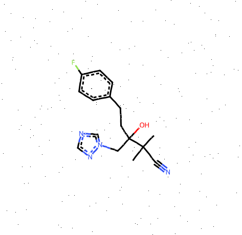 CC(C)(C#N)C(O)(CCc1ccc(F)cc1)Cn1cncn1